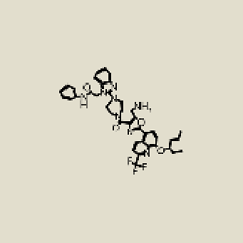 CCCC(CC)Oc1ccc(-c2nc(C(=O)N3CCN(c4nc5ccccc5n4CC(=O)Nc4ccccc4)CC3)c(CN)o2)c2ccc(C(F)(F)F)nc12